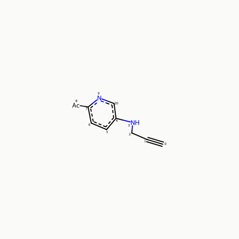 C#CCNc1ccc(C(C)=O)nc1